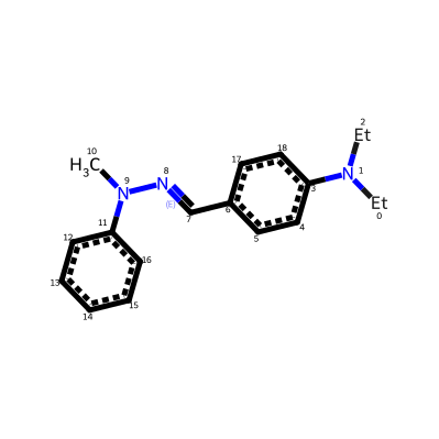 CCN(CC)c1ccc(/C=N/N(C)c2ccccc2)cc1